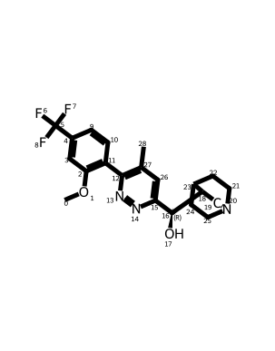 COc1cc(C(F)(F)F)ccc1-c1nnc([C@H](O)C2CN3CCC2CC3)cc1C